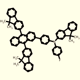 CC1(C)c2ccccc2-c2ccc(-c3c4ccccc4c(-c4ccc5c(c4)C(C)(C)c4ccccc4-5)c4cc(-c5ccc(N(c6ccc(F)cc6)c6ccc7c(c6)C(C)(C)c6ccccc6-7)cc5)ccc34)cc21